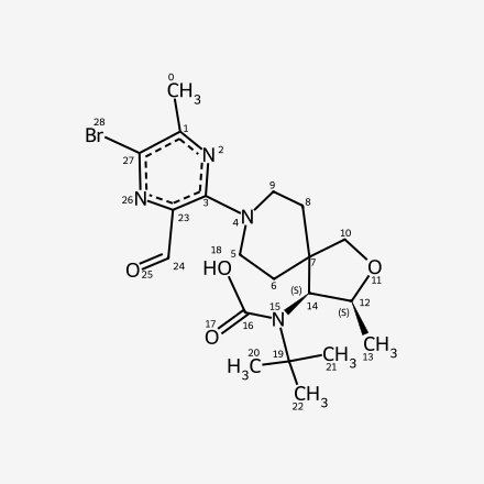 Cc1nc(N2CCC3(CC2)CO[C@@H](C)[C@H]3N(C(=O)O)C(C)(C)C)c(C=O)nc1Br